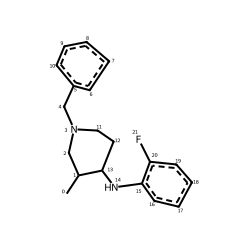 CC1CN(Cc2ccccc2)CCC1Nc1ccccc1F